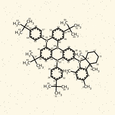 Cc1cc(C)c2c(c1)C1(C)CCCCC1(C)N2c1ccc2c(c1)N(c1ccc(C(C)(C)C)cc1)c1cc(C(C)(C)C)cc3c1B2c1cc(C(C)(C)C)ccc1N3c1ccc(C(C)(C)C)cc1